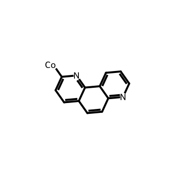 [Co][c]1ccc2ccc3ncccc3c2n1